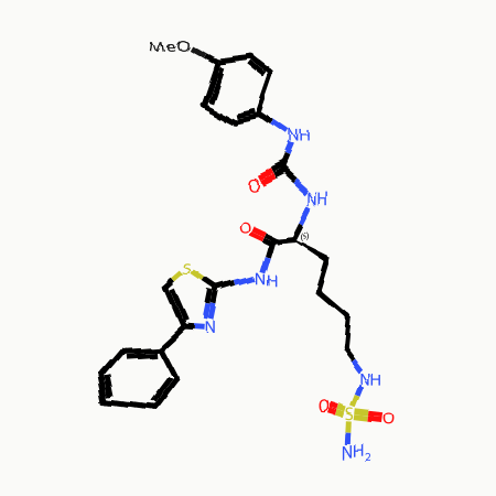 COc1ccc(NC(=O)N[C@@H](CCCCNS(N)(=O)=O)C(=O)Nc2nc(-c3ccccc3)cs2)cc1